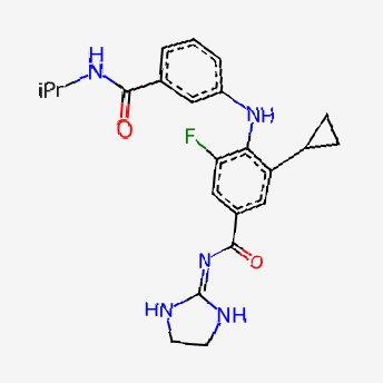 CC(C)NC(=O)c1cccc(Nc2c(F)cc(C(=O)N=C3NCCN3)cc2C2CC2)c1